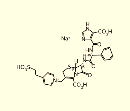 O=C(O)C1=C(C[n+]2ccc(CCS(=O)(=O)O)cc2)CS[C@@H]2[C@H](NC(=O)[C@H](NC(=O)c3nc[nH]c3C(=O)O)c3ccccc3)C(=O)N12.[Na+]